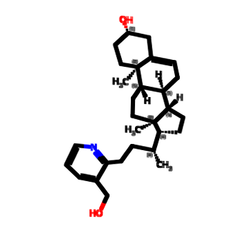 C[C@H](CCc1ncccc1CO)[C@H]1CC[C@H]2[C@@H]3CC=C4C[C@@H](O)CC[C@]4(C)[C@H]3CC[C@]12C